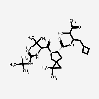 CC(=O)C(O)C(CC1CCC1)NC(=O)[C@@H]1CC2(CN1C(=O)[C@@H](NC(=O)NC(C)(C)C)C(C)(C)C)CC2(C)C